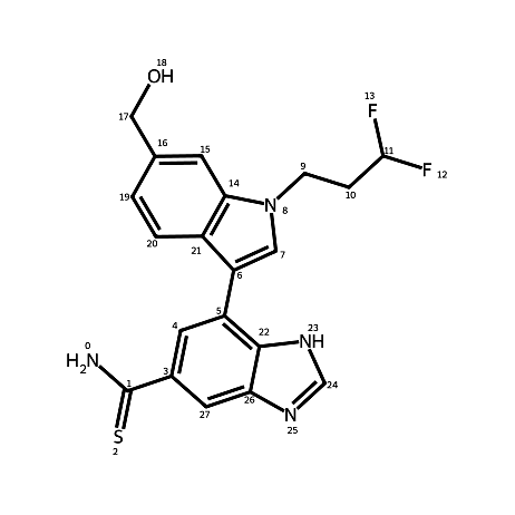 NC(=S)c1cc(-c2cn(CCC(F)F)c3cc(CO)ccc23)c2[nH]cnc2c1